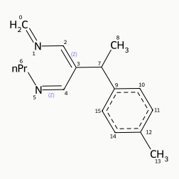 C=N/C=C(\C=N/CCC)C(C)c1ccc(C)cc1